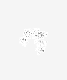 Cc1ccc(NC(=O)c2n[nH]c3ccc(-c4cncc(N5CCCC5)c4)cc23)cn1